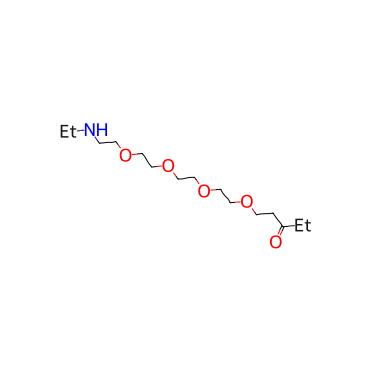 CCNCCOCCOCCOCCOCCC(=O)CC